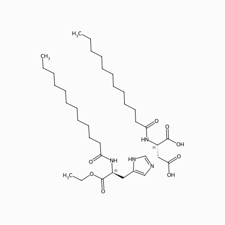 CCCCCCCCCCCC(=O)N[C@@H](CC(=O)O)C(=O)O.CCCCCCCCCCCC(=O)N[C@@H](Cc1cnc[nH]1)C(=O)OCC